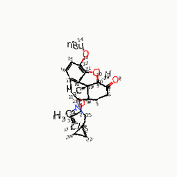 C=CCO[C@@]12CCC(=O)[C@@H]3Oc4c(OCCCC)ccc(c4C31C)C[C@H]2N(C)CC1CC1